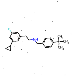 CC(C)(C)c1ccc(CNCCc2cc(F)cc(C3CC3)c2)cc1